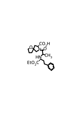 CCOC(=O)[C@H](CCc1ccccc1)NC(C)C(=O)N1CC2(CCCO2)C[C@H]1C(=O)O